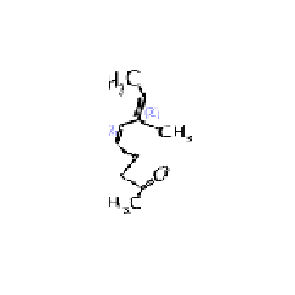 C/C=C(C)\C=C/CCC(C)=O